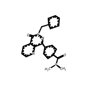 CN(C)C(=O)c1ccc(-c2nn(Cc3ccccc3)c(=O)c3cccnc23)cc1